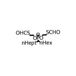 CCCCCCCC(CCCCCC)P(=O)(OCCSC=O)OCCSC=O